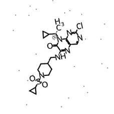 C[C@@H](C1CC1)n1c(=O)c(NCC2CCN(S(=O)(=O)C3CC3)CC2)nc2cnc(Cl)nc21